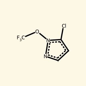 FC(F)(F)On1n[c]cc1Cl